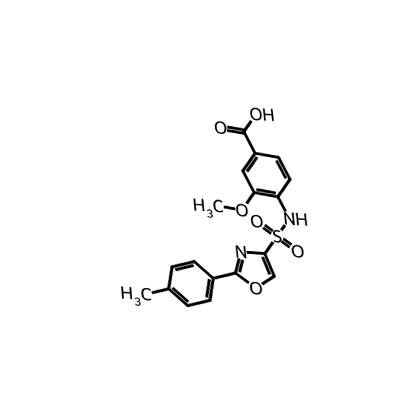 COc1cc(C(=O)O)ccc1NS(=O)(=O)c1coc(-c2ccc(C)cc2)n1